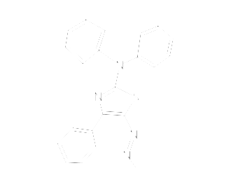 C/N=N/c1sc(N(c2ccccc2)c2ccccc2)nc1-c1ccccc1